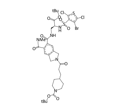 CNC(=O)c1cc2c(cc1C(=O)NC[C@H](NS(=O)(=O)c1c(Cl)sc(Cl)c1Br)C(=O)OC(C)(C)C)CN(C(=O)CCC1CCN(C(=O)OC(C)(C)C)CC1)C2